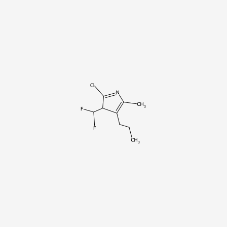 CCCC1=C(C)N=C(Cl)C1C(F)F